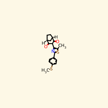 CSc1ccc(-c2nc(C3C(=O)[C@@H]4CC[C@@H](C4)C3=O)c(C)s2)cc1